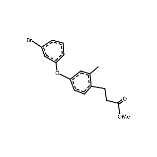 COC(=O)CCc1ccc(Oc2cccc(Br)c2)cc1C